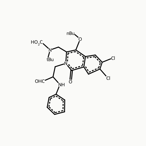 CCCCOc1c(CN(C(=O)O)C(C)(C)C)n(CC(C=O)Nc2ccccc2)c(=O)c2cc(Cl)c(Cl)cc12